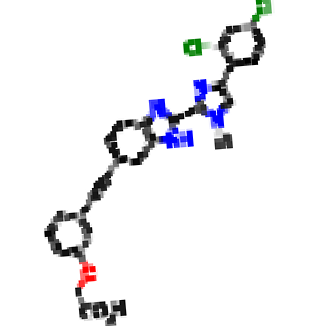 CCn1cc(-c2ccc(Cl)cc2Cl)nc1-c1nc2ccc(C#Cc3cccc(OCC(=O)O)c3)cc2[nH]1